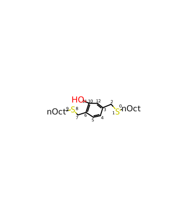 CCCCCCCCSCc1ccc(CSCCCCCCCC)c(O)c1